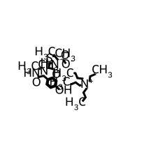 CC1(C)S[C@@H]2[C@H](N3C(c4ccc(O)cc4)C(=O)NC3(C)C)C(=O)N2[C@H]1C(=O)[O-].CCCC[N+](CCCC)(CCCC)CCCC